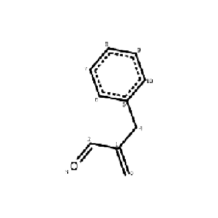 C=C(C=O)Cc1ccccc1